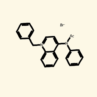 CC(=O)N(c1ccccc1)c1cc[n+](Cc2ccccc2)c2ccccc12.[Br-]